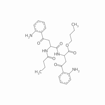 CCCCOC(=O)C(CC(=O)c1ccccc1N)NC(=O)C(CC(=O)c1ccccc1N)NC(=O)CCC